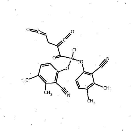 Cc1ccc(O[Si](Cl)(Oc2ccc(C)c(C)c2C#N)C(=O)C(=C=O)CC=C=O)c(C#N)c1C